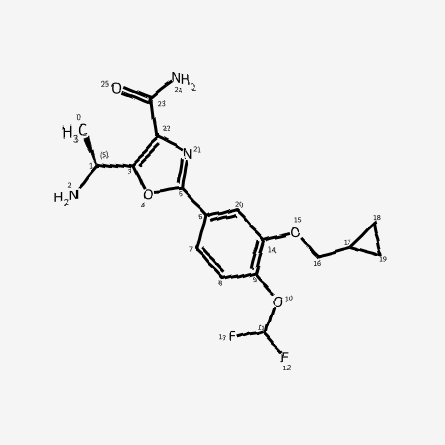 C[C@H](N)c1oc(-c2ccc(OC(F)F)c(OCC3CC3)c2)nc1C(N)=O